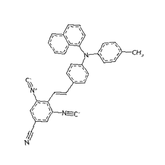 [C-]#[N+]c1cc(C#N)cc([N+]#[C-])c1C=Cc1ccc(N(c2ccc(C)cc2)c2cccc3ccccc23)cc1